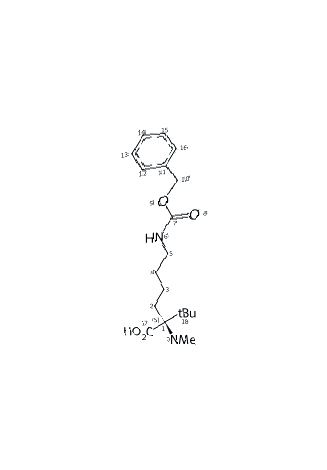 CN[C@](CCCCNC(=O)OCc1ccccc1)(C(=O)O)C(C)(C)C